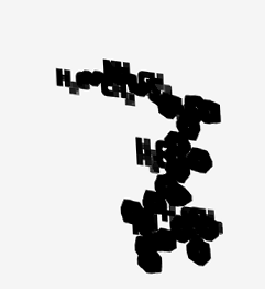 C=CCCC(=C)C(=N)C/C=C\C=C/C(C)/N=C/c1ccc(-n2c3cc(-c4ccc5c(c4)N(c4ccccc4)c4ccc(-c6ccc(-c7ccc(-c8nc(-n9c%10cc(-c%11ccc%12c(c%11)N(c%11ccccc%11)c%11ccccc%11C%12(C)C)ccc%10c%10c%11ccccc%11ccc%109)nc9ccccc89)cc7)c7ccccc67)cc4C5(C)C)ccc3c3c4ccccc4ccc32)cc1